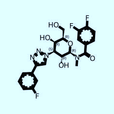 CN(C(=O)c1ccc(F)c(F)c1)[C@@H]1O[C@H](CO)[C@H](O)[C@H](n2cc(-c3cccc(F)c3)nn2)[C@H]1O